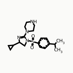 CC(C)c1ccc(S(=O)(=O)N2CC(C3CC3)N=C2N2CCNCC2)cc1